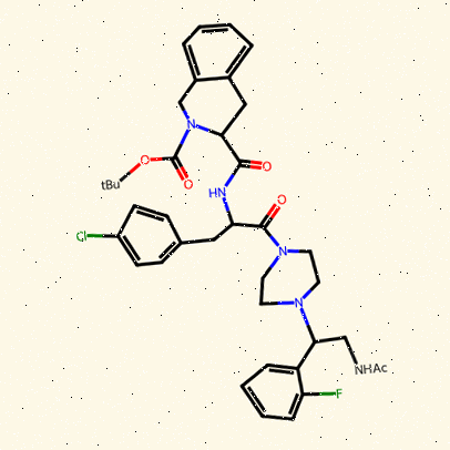 CC(=O)NCC(c1ccccc1F)N1CCN(C(=O)C(Cc2ccc(Cl)cc2)NC(=O)C2Cc3ccccc3CN2C(=O)OC(C)(C)C)CC1